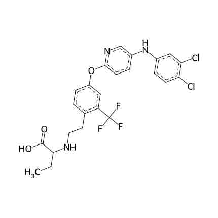 CCC(NCCc1ccc(Oc2ccc(Nc3ccc(Cl)c(Cl)c3)cn2)cc1C(F)(F)F)C(=O)O